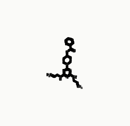 C=CCNc1nc(NCC=C)nc(N2CCC(OC(=O)c3ccccc3)CC2)n1